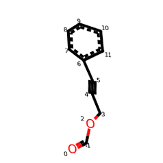 O=[C]OCC#Cc1ccccc1